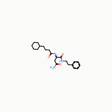 NC(=O)C/C(=N\C(=O)CCCC1CCCCC1)C(=O)NCCc1ccccc1